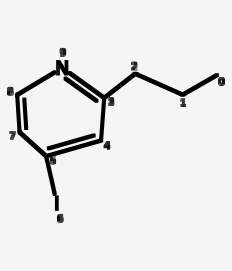 CCCc1cc(I)ccn1